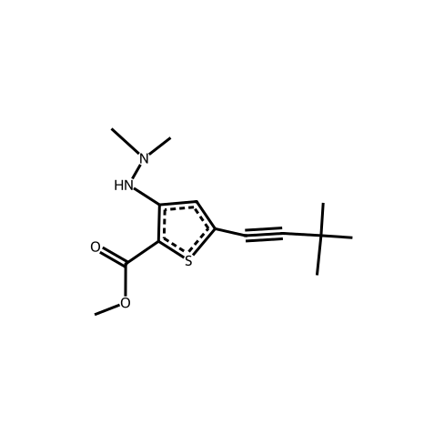 COC(=O)c1sc(C#CC(C)(C)C)cc1NN(C)C